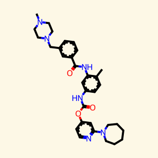 Cc1ccc(NC(=O)Oc2ccnc(N3CCCCCC3)c2)cc1NC(=O)c1cccc(CN2CCN(C)CC2)c1